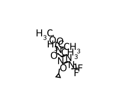 CCOC(=O)CN(C(=O)c1cnc(N2CC(F)(F)C2)c(OCC2CC2)n1)C(C)(C)C